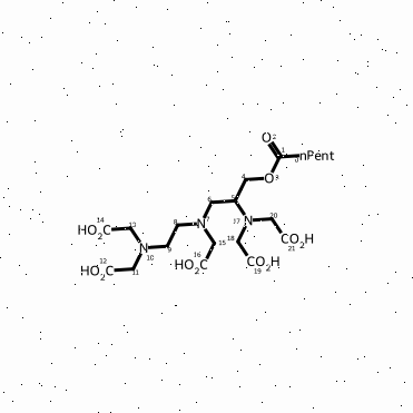 CCCCCC(=O)OCC(CN(CCN(CC(=O)O)CC(=O)O)CC(=O)O)N(CC(=O)O)CC(=O)O